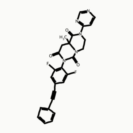 CC12CC(=O)N(c3c(F)cc(C#Cc4ccccc4)cc3F)C(=O)N1CCN(c1ccncn1)C2=O